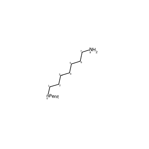 CCCCCCC[CH]CCCCN